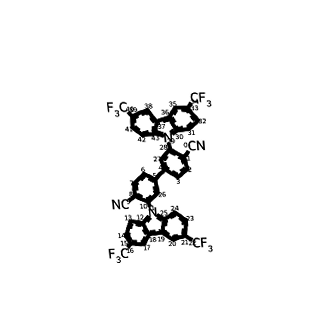 N#Cc1ccc(-c2ccc(C#N)c(-n3c4ccc(C(F)(F)F)cc4c4cc(C(F)(F)F)ccc43)c2)cc1-n1c2ccc(C(F)(F)F)cc2c2cc(C(F)(F)F)ccc21